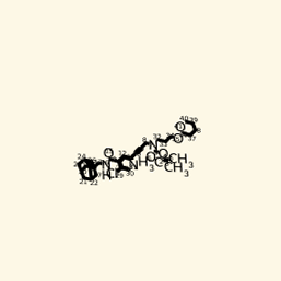 CC(C)(C)OC(=O)N(CC#Cc1cc(C(=O)NCC23CC4CC(CC(C4)C2)C3)c(Cl)cn1)CCCOC1CCCCO1